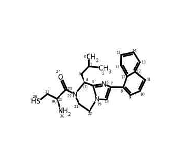 CC(C)C[C@H]1c2nc(-c3cccc4ccccc34)cn2CCN1C(=O)[C@@H](N)CS